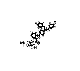 COC(=O)C(O)(CO)COC(=O)c1nn(-c2ccc(N(Cc3ccc(F)cc3)Cc3ccc(F)cc3)cc2)c2ccccc12